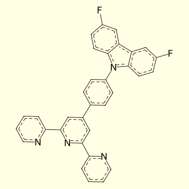 Fc1ccc2c(c1)c1cc(F)ccc1n2-c1ccc(-c2cc(-c3ccccn3)nc(-c3ccccn3)c2)cc1